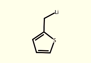 [Li][CH2]c1cccs1